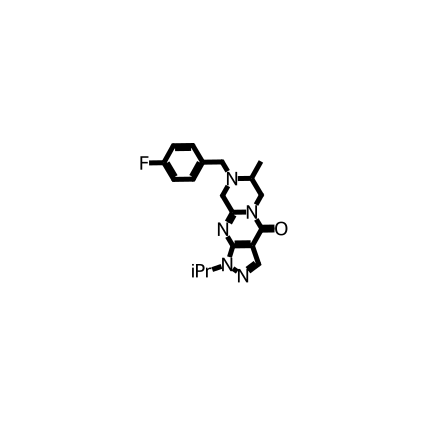 CC1Cn2c(nc3c(cnn3C(C)C)c2=O)CN1Cc1ccc(F)cc1